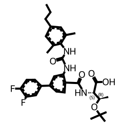 CCCc1cc(C)c(NC(=O)Nc2cc(-c3ccc(F)c(F)c3)ccc2C(=O)N[C@H](C(=O)O)[C@@H](C)OC(C)(C)C)c(C)c1